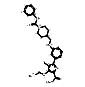 COC(=O)c1sc(-c2cccc(NCC3CCN(C(=O)Nc4ccccc4)CC3)c2)c(C)c1OCC(=O)O